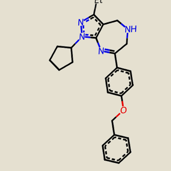 CCc1nn(C2CCCC2)c2c1CNCC(c1ccc(OCc3ccccc3)cc1)=N2